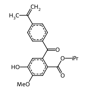 C=C(C)c1ccc(C(=O)c2cc(O)c(OC)cc2C(=O)OC(C)C)cc1